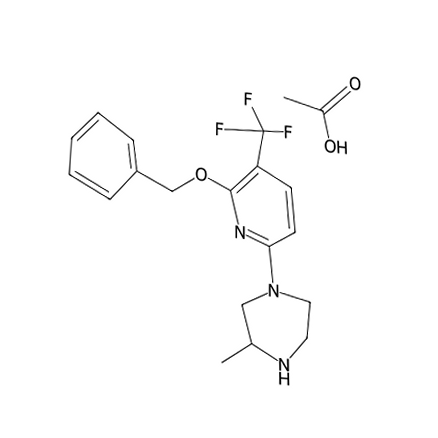 CC(=O)O.CC1CN(c2ccc(C(F)(F)F)c(OCc3ccccc3)n2)CCN1